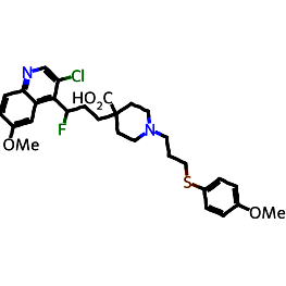 COc1ccc(SCCCN2CCC(CCC(F)c3c(Cl)cnc4ccc(OC)cc34)(C(=O)O)CC2)cc1